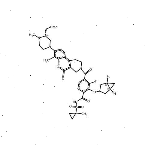 COC[C@H]1CN(c2ccc3c4c(c(=O)oc3c2C)CN(C(=O)c2ccc(C(=O)NS(=O)(=O)C3(C)CC3)c(OC3C[C@@H]5C[C@@H]5C3)c2F)CC4)CCN1C